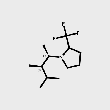 CC(C)[C@@H](C)[C@@H](C)N1CCCC1C(F)(F)F